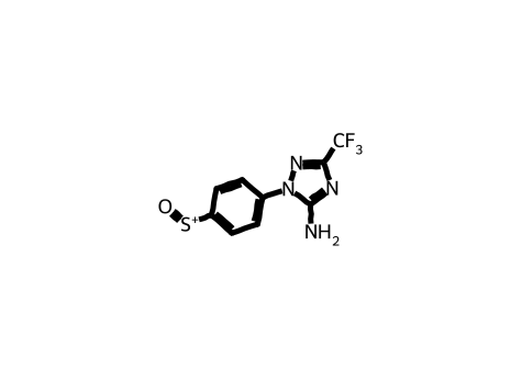 Nc1nc(C(F)(F)F)nn1-c1ccc([S+]=O)cc1